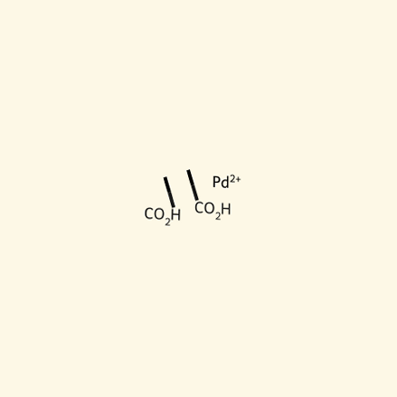 CC(=O)O.CC(=O)O.[Pd+2]